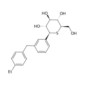 CCc1ccc(Cc2cccc([C@@H]3S[C@H](CO)[C@@H](O)[C@H](O)[C@H]3O)c2)cc1